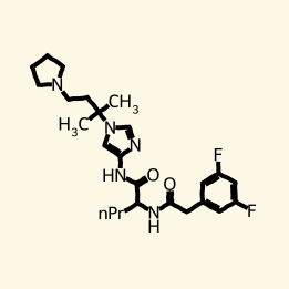 CCCC(NC(=O)Cc1cc(F)cc(F)c1)C(=O)Nc1cn(C(C)(C)CCN2CCCC2)cn1